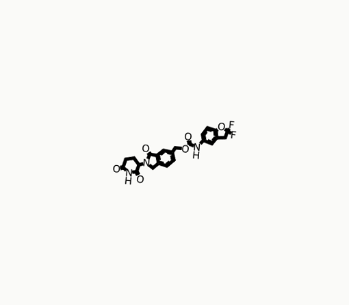 O=C1CCC(N2Cc3ccc(COC(=O)Nc4ccc5c(c4)CC(F)(F)O5)cc3C2=O)C(=O)N1